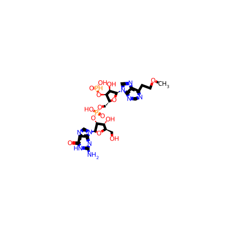 COCCc1ncnc2c1ncn2[C@@H]1O[C@H](COP(=O)(O)O[C@@H]2[C@H](O)[C@@H](CO)O[C@H]2n2cnc3c(=O)[nH]c(N)nc32)[C@@H](O[PH](=O)O)[C@H]1O